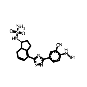 CC(C)Nc1ccc(-c2nsc(C3=C4CC[C@H](NS(N)(=O)=O)C4CC=C3)n2)cc1C#N